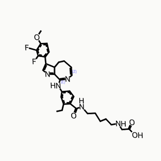 CCc1cc(N/C2=N/C=C\CCC3C(c4ccc(OC)c(F)c4F)=CN=C23)ccc1C(=O)NCCCCCNCC(=O)O